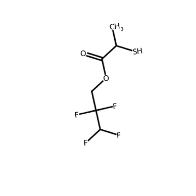 CC(S)C(=O)OCC(F)(F)C(F)F